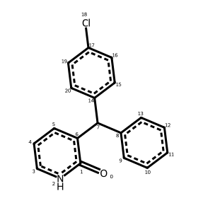 O=c1[nH]cccc1C(c1ccccc1)c1ccc(Cl)cc1